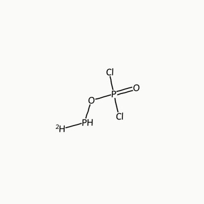 [2H]POP(=O)(Cl)Cl